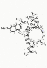 COc1ccc2c(O[C@@H]3C[C@H]4C(=O)N[C@]5(C(=O)NS(=O)(=O)C6(C)CC6)C[C@H]5/C=C\CC[C@@H](C)C[C@@H](C)[C@H](NC(=O)O[C@H](C)C(F)(F)F)C(=O)N4C3)nc(N(C)C)cc2c1